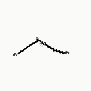 CC(C)CCCCCCCCCCCCCOC(=O)CSCC(=O)OCCCCCCCCCCCCCC(C)C